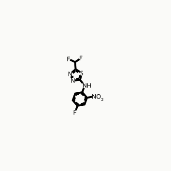 O=[N+]([O-])c1cc(F)ccc1Nc1nnc(C(F)F)s1